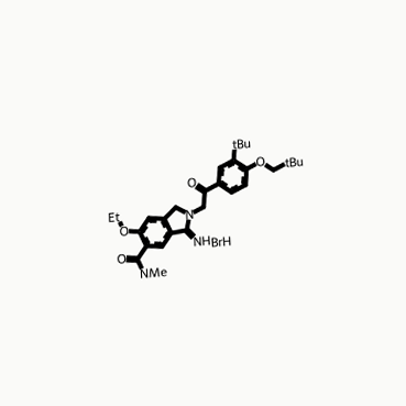 Br.CCOc1cc2c(cc1C(=O)NC)C(=N)N(CC(=O)c1ccc(OCC(C)(C)C)c(C(C)(C)C)c1)C2